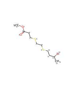 COC(=O)CCSCCSCCC(C)Br